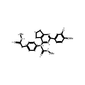 COc1ccc(-c2nc3c(c(N(C(=O)OC(C)(C)C)c4ccc(CC(=O)OC(C)(C)C)cc4)n2)CCC3)cc1Cl